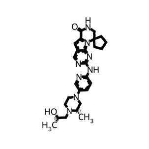 C[C@@H](O)CN1CCN(c2ccc(Nc3ncc4cc5n(c4n3)C3(CCCC3)CNC5=O)nc2)C[C@@H]1C